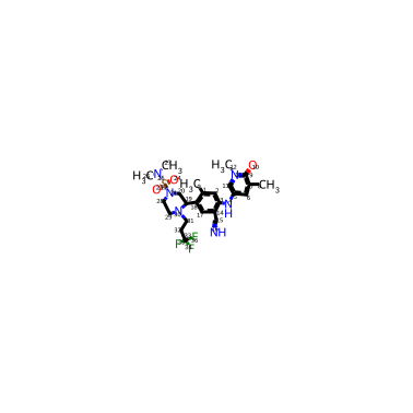 Cc1cc(Nc2cc(C)c(=O)n(C)c2)c(C=N)cc1C1CN(S(=O)(=O)N(C)C)CCN1CCC(F)(F)F